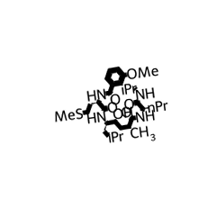 CCC[C@H](NC(=O)[C@H](C)C[C@H](O)[C@H](CC(C)C)NC(=O)[C@H](CCSC)NC(=O)c1cccc(OC)c1)C(=O)NC(C)C